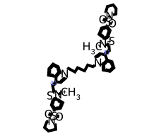 C[n+]1c(/C=C2\C=CN(CCCCCCN3C=C/C(=C\c4sc5cc(S(=O)(=O)N6CCCCC6)ccc5[n+]4C)c4ccccc43)c3ccccc32)sc2cc(S(=O)(=O)N3CCCCC3)ccc21